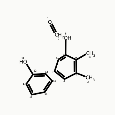 C=O.Cc1cccc(O)c1C.Oc1ccccc1